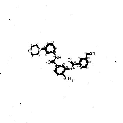 Cc1ccc(C(=O)Nc2cccc(N3CCOCC3)c2)cc1NC(=O)c1cccc(CCl)c1